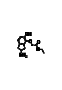 CCOC(=O)COc1c(O)ccc2c1CC(N)C2